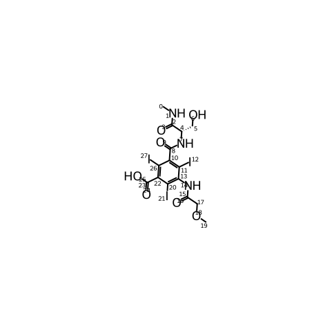 CNC(=O)[C@H](CO)NC(=O)c1c(I)c(NC(=O)COC)c(I)c(C(=O)O)c1I